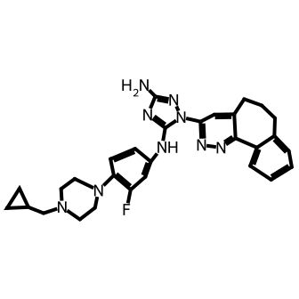 Nc1nc(Nc2ccc(N3CCN(CC4CC4)CC3)c(F)c2)n(-c2cc3c(nn2)-c2ccccc2CCC3)n1